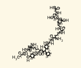 CCC(=O)NCCNC(=O)/N=C(/N)NCCC[C@@H](NC(=O)C(c1ccccc1)c1ccc(NCCNC(=O)[C@H](N)CCCNC(C=O)NCCN(CCN(CCNCC(=O)O)CC(=O)O)CC(=O)O)cc1)C(=O)NCc1ccc(O)cc1